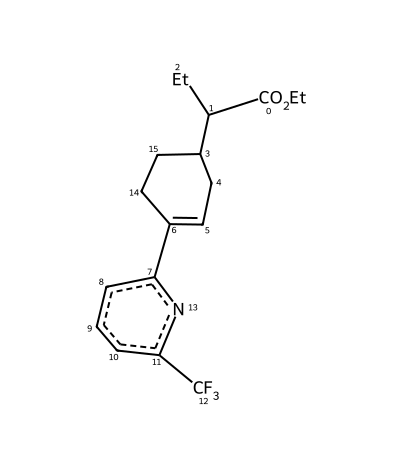 CCOC(=O)C(CC)C1CC=C(c2cccc(C(F)(F)F)n2)CC1